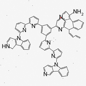 C=C/C=C\C(c1cccc(-c2cc(-c3cccc(-c4cccc(-n5c6c(c7ccccc75)CNC=C6)n4)n3)cc(-c3cccc(-c4cccc(-n5c6ccccc6c6cnccc65)n4)n3)c2)n1)c1ccccc1-c1cnccc1N